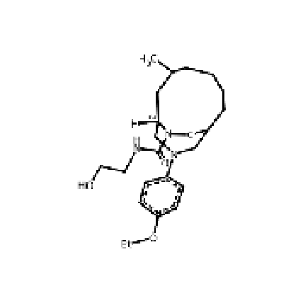 CCOc1ccc(N2CC3CCCCC(C)C[C@@H](C2)N(C(=O)NCCO)C3)cc1